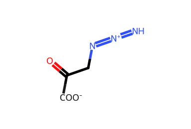 N=[N+]=NCC(=O)C(=O)[O-]